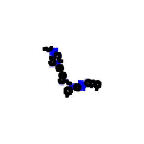 C=C/C=C(\C=C/C)N(C(=C)C/C=C\c1nn(/C(C)=C/C=C)nc1C)c1ccc(-c2ccc(C(/C=C\C)=C/C=C/N(C3=CC=C(C)C=CC3)c3ccc4nn(C(/C=C\CCC5=CC(C)CCC5)=C/C=C)nc4c3)cc2)cc1